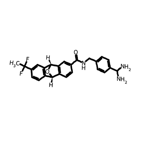 CC(F)(F)c1ccc2c(c1)[C@H]1O[C@@H]2c2ccc(C(=O)NCc3ccc(C(N)N)cc3)cc21